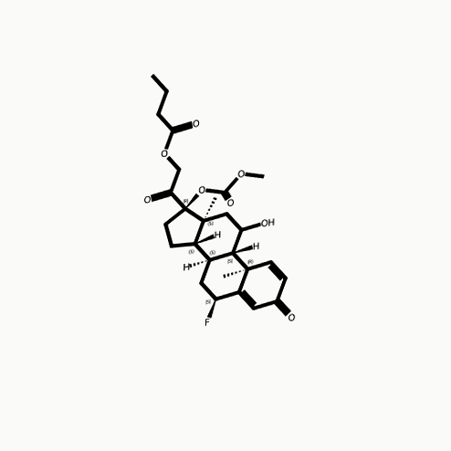 CCCC(=O)OCC(=O)[C@@]1(OC(=O)OC)CC[C@H]2[C@@H]3C[C@H](F)C4=CC(=O)C=C[C@]4(C)[C@H]3C(O)C[C@@]21C